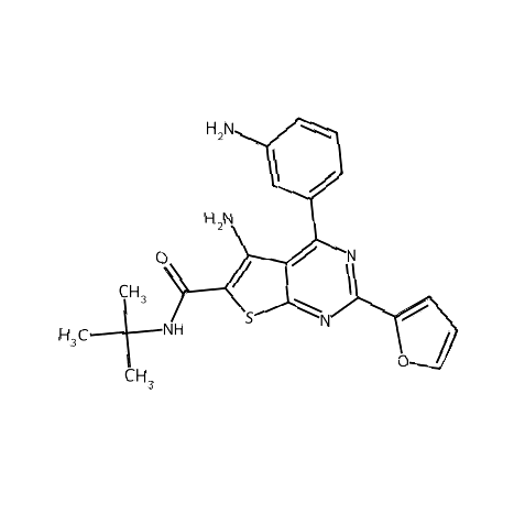 CC(C)(C)NC(=O)c1sc2nc(-c3ccco3)nc(-c3cccc(N)c3)c2c1N